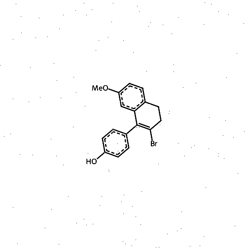 COc1ccc2c(c1)C(c1ccc(O)cc1)=C(Br)CC2